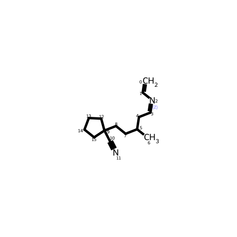 C=C/N=C\CC(C)CCC1(C#N)CCCC1